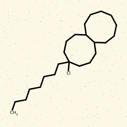 CCCCCCCCC1(Cl)CCCC2CCCCCCCC2CCC1